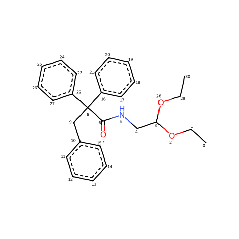 CCOC(CNC(=O)C(Cc1ccccc1)(c1ccccc1)c1ccccc1)OCC